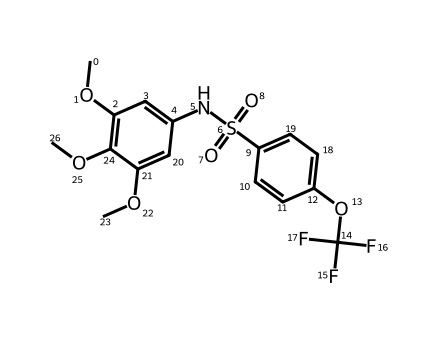 COc1cc(NS(=O)(=O)c2ccc(OC(F)(F)F)cc2)cc(OC)c1OC